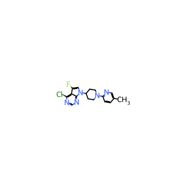 Cc1ccc(N2CCC(n3cc(F)c4c(Cl)ncnc43)CC2)nc1